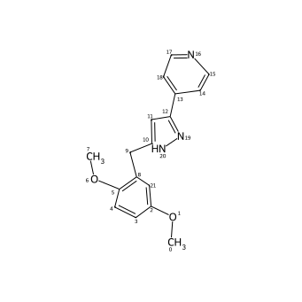 COc1ccc(OC)c(Cc2cc(-c3ccncc3)n[nH]2)c1